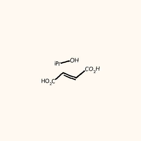 CC(C)O.O=C(O)C=CC(=O)O